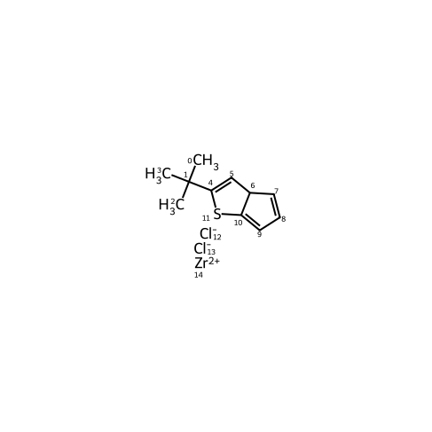 CC(C)(C)C1=CC2C=CC=C2S1.[Cl-].[Cl-].[Zr+2]